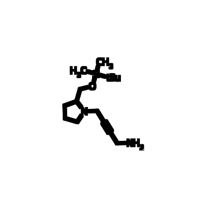 CC(C)(C)[Si](C)(C)OCC1CCCN1CC#CCN